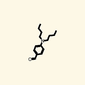 CCCCN(CCCC)c1ccc([C]=O)cc1